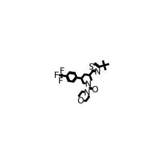 CC(C)(C)c1csc(C2CC(c3ccc(C(F)(F)F)cc3)CN(C(=O)N3CCOCC3)C2)n1